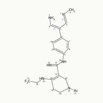 C/N=C/C(=C\N)c1ccc(NC(=N)C2=C(NCC(F)(F)F)CCN(C(C)=O)C2)cc1